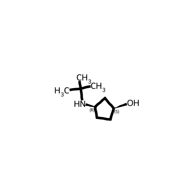 CC(C)(C)N[C@@H]1CC[C@H](O)C1